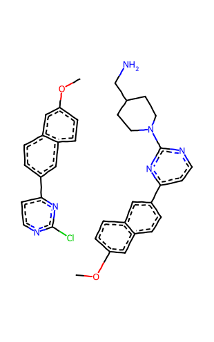 COc1ccc2cc(-c3ccnc(Cl)n3)ccc2c1.COc1ccc2cc(-c3ccnc(N4CCC(CN)CC4)n3)ccc2c1